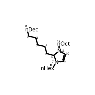 CCCCCCCCCCCCCCCC1N(CCCCCC)C=CN1CCCCCCCC